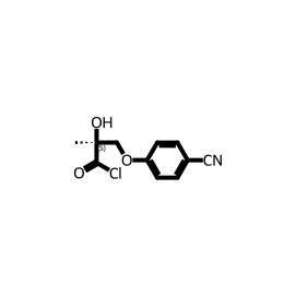 C[C@](O)(COc1ccc(C#N)cc1)C(=O)Cl